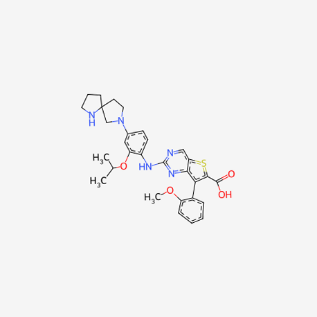 COc1ccccc1-c1c(C(=O)O)sc2cnc(Nc3ccc(N4CCC5(CCCN5)C4)cc3OC(C)C)nc12